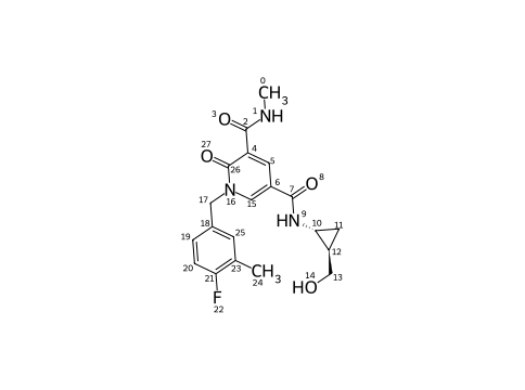 CNC(=O)c1cc(C(=O)N[C@@H]2C[C@H]2CO)cn(Cc2ccc(F)c(C)c2)c1=O